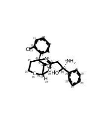 N[C@](O)(CC1=N[C@@]2(c3ccccc3Cl)CCC[C@@H](O1)C2=O)c1ccccc1